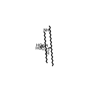 CCCCCCCCCCCCC(CO)CCCCCCCCCC.CCCCCCCCCCCCCCCCCCN.O=P(O)(O)O